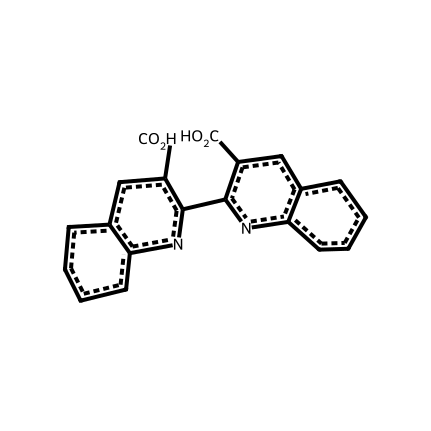 O=C(O)c1cc2ccccc2nc1-c1nc2ccccc2cc1C(=O)O